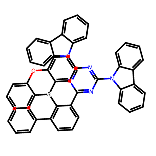 c1ccc(-c2cccc(-c3nc(-n4c5ccccc5c5ccccc54)nc(-n4c5ccccc5c5ccccc54)n3)c2B2c3ccccc3Oc3ccccc32)cc1